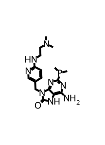 CN(C)CCNc1ccc(Cn2c(=O)[nH]c3c(N)nc(P(C)C)nc32)cn1